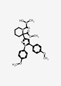 COC(=O)C1(c2cc(-c3ccc(OC)cc3)n(-c3ccc(OC)cc3)n2)CCCCN1C(=O)N(C)O